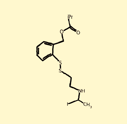 CC(I)NCCSSc1ccccc1COC(=O)C(C)C